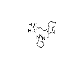 CC(C)=CCn1c(Cn2nnc3ccccc32)nc2ccccc21